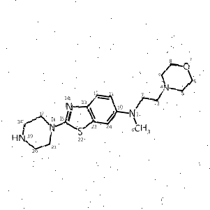 CN(CCN1CCOCC1)c1ccc2nc(N3CCNCC3)sc2c1